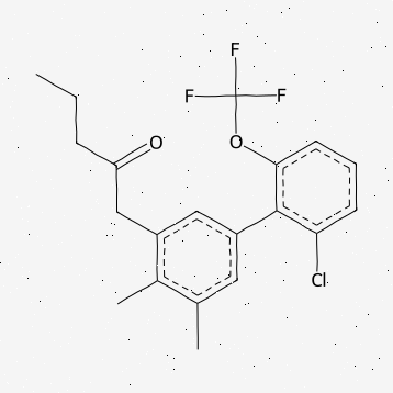 CCCC(=O)Cc1cc(-c2c(Cl)cccc2OC(F)(F)F)cc(C)c1C